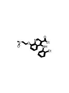 CCC(=O)c1cnc2c(OCC[S+](C)[O-])cccc2c1Nc1ccccc1CC